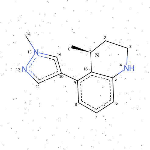 C[C@H]1CCNc2cccc(-c3cnn(C)c3)c21